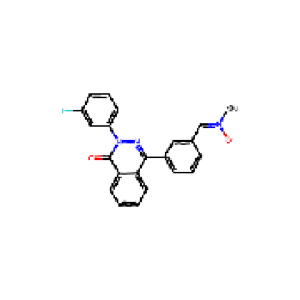 CC(C)(C)/[N+]([O-])=C/c1cccc(-c2nn(-c3cccc(F)c3)c(=O)c3ccccc23)c1